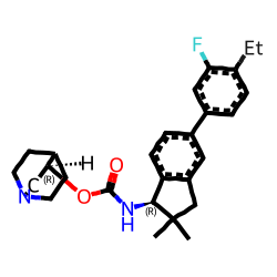 CCc1ccc(-c2ccc3c(c2)CC(C)(C)[C@H]3NC(=O)O[C@H]2CN3CCC2CC3)cc1F